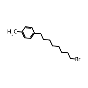 Cc1ccc(CCCCCCCCBr)cc1